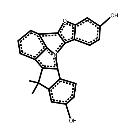 CC1(C)c2cc(O)ccc2-c2c1c1cccc3c4oc5cc(O)ccc5c4n2c13